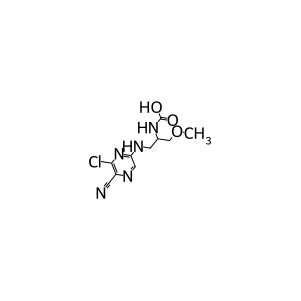 COCC(CNc1cnc(C#N)c(Cl)n1)NC(=O)O